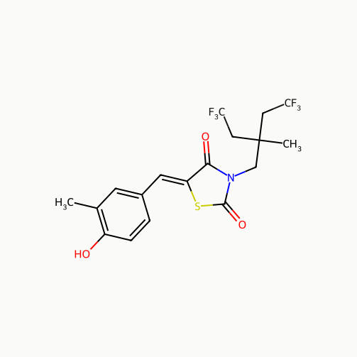 Cc1cc(/C=C2\SC(=O)N(CC(C)(CC(F)(F)F)CC(F)(F)F)C2=O)ccc1O